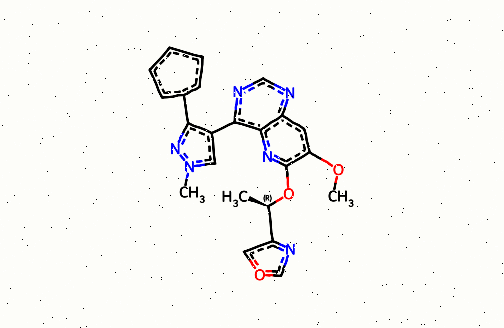 COc1cc2ncnc(-c3cn(C)nc3-c3ccccc3)c2nc1O[C@H](C)c1cocn1